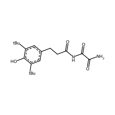 CC(C)(C)c1cc(CCC(=O)NC(=O)C(N)=O)cc(C(C)(C)C)c1O